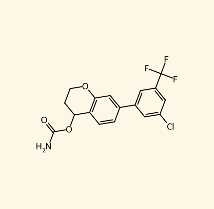 NC(=O)OC1CCOc2cc(-c3cc(Cl)cc(C(F)(F)F)c3)ccc21